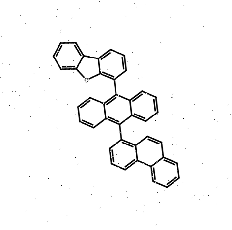 c1ccc2c(c1)ccc1c(-c3c4ccccc4c(-c4cccc5c4oc4ccccc45)c4ccccc34)cccc12